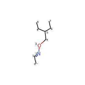 [CH2]C=NOCC(CC)CC